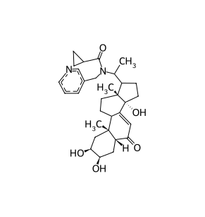 CC(C1CC[C@@]2(O)C3=CC(=O)[C@@H]4C[C@@H](O)[C@@H](O)C[C@]4(C)C3CC[C@]12C)N(Cc1cccnc1)C(=O)C1CC1